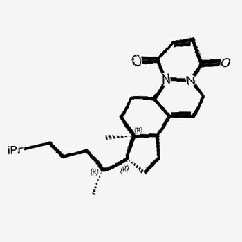 CC(C)CCC[C@@H](C)[C@H]1CCC2C3=CCn4c(=O)ccc(=O)n4C3CC[C@@]21C